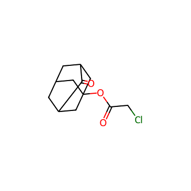 O=C(CCl)OC12CC3CC(C1)C(=O)C(C3)C2